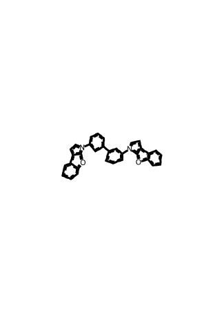 c1cc(-c2cccc(-n3ccc4c5ccccc5oc43)c2)cc(-n2ccc3c4ccccc4oc32)c1